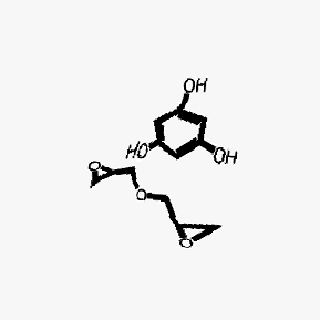 C(OCC1CO1)C1CO1.Oc1cc(O)cc(O)c1